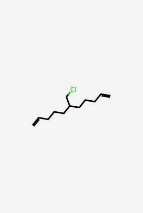 C=CCCCC(CCl)CCCC=C